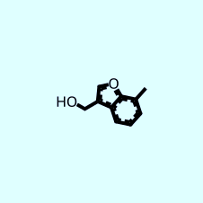 Cc1cccc2c(CO)coc12